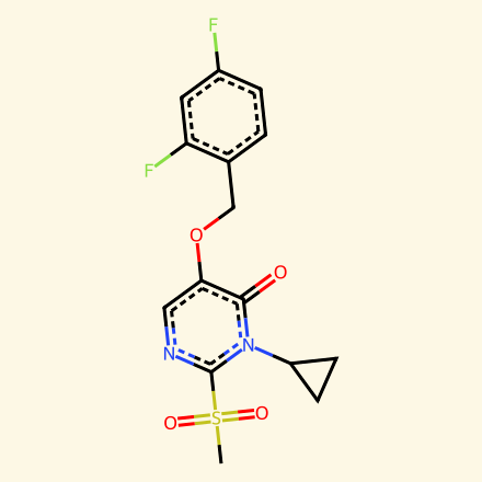 CS(=O)(=O)c1ncc(OCc2ccc(F)cc2F)c(=O)n1C1CC1